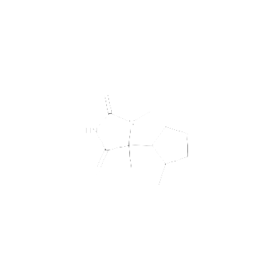 CC1CCCC1C1(C)C(=O)NC(=O)N1C